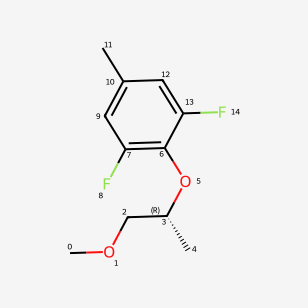 COC[C@@H](C)Oc1c(F)cc(C)cc1F